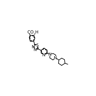 CC1CCC(N2CCN(c3ccc(-c4nnc(-c5ccc(C(=O)O)cc5)s4)cn3)CC2)CC1